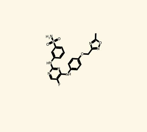 Cc1nc(COc2ccc(Nc3nc(Nc4cccc(S(N)(=O)=O)c4)ncc3F)cc2)no1